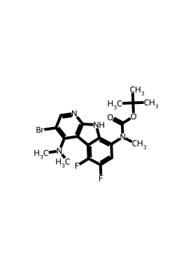 CN(C)c1c(Br)cnc2[nH]c3c(N(C)C(=O)OC(C)(C)C)cc(F)c(F)c3c12